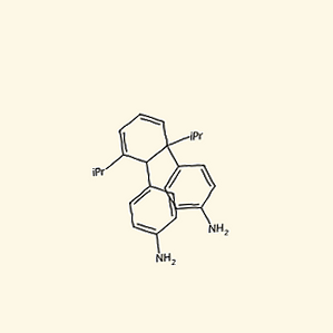 CC(C)C1=CC=CC(c2ccc(N)cc2)(C(C)C)C1c1ccc(N)cc1